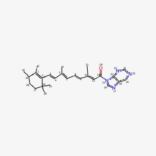 CC1=C(/C=C/C(C)=C/C=C/C(C)=C/C(=O)n2cnc3cncnc32)C(C)(C)CCC1C